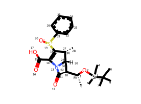 C[C@@H](O[Si](C)(C)C(C)(C)C)[C@H]1C(=O)N2C(C(=O)O)=C([S+]([O-])c3ccccc3)[C@H](C)[C@H]12